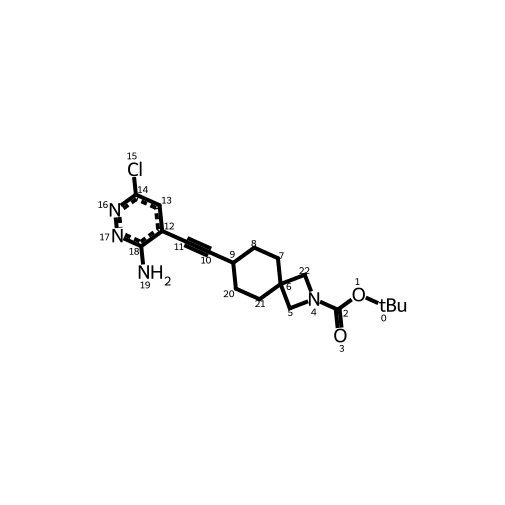 CC(C)(C)OC(=O)N1CC2(CCC(C#Cc3cc(Cl)nnc3N)CC2)C1